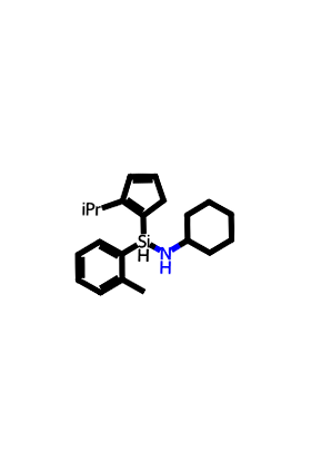 Cc1ccccc1[SiH](NC1CCCCC1)C1=C(C(C)C)C=CC1